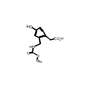 CC(C)(C)OC(=O)NCc1cc(O)ccc1CC(=O)O